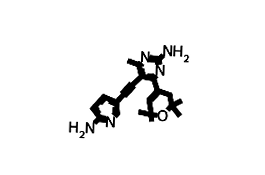 Cc1nc(N)nc(C2=CC(C)(C)OC(C)(C)C2)c1C#Cc1ccc(N)nc1